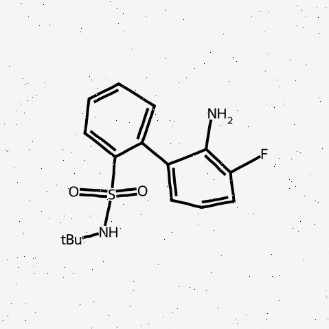 CC(C)(C)NS(=O)(=O)c1ccccc1-c1cccc(F)c1N